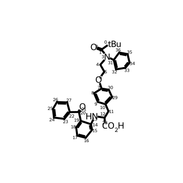 CC(C)(C)C(=O)N(CCOc1ccc(CC(Nc2ccccc2C(=O)c2ccccc2)C(=O)O)cc1)c1ccccc1